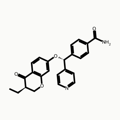 CC[C@@H]1COc2cc(O[C@@H](c3ccncc3)c3ccc(C(N)=O)cc3)ccc2C1=O